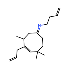 C=CCC/N=C1\CCC(C)(C)/C=C(/CC=C)C(C)C1